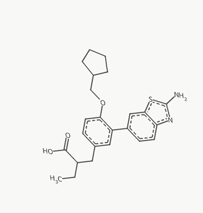 CCC(Cc1ccc(OCC2CCCC2)c(-c2ccc3nc(N)sc3c2)c1)C(=O)O